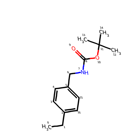 CCc1ccc(CNC(=O)OC(C)(C)C)cc1